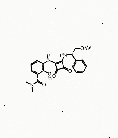 COC[C@@H](Nc1c(Nc2cccc(C(=O)N(C)C)c2O)c(=O)c1=O)c1ccccc1